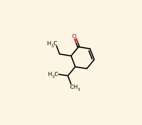 CCC1C(=O)C=CCC1C(C)C